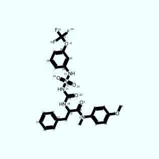 COc1ccc(N(C)C(=O)C(Cc2ccccc2)NC(=O)NS(=O)(=O)Nc2cccc(OC(F)(F)F)c2)cc1